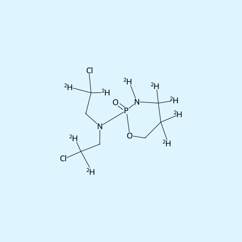 [2H]N1C([2H])([2H])C([2H])([2H])COP1(=O)N(CC([2H])([2H])Cl)CC([2H])([2H])Cl